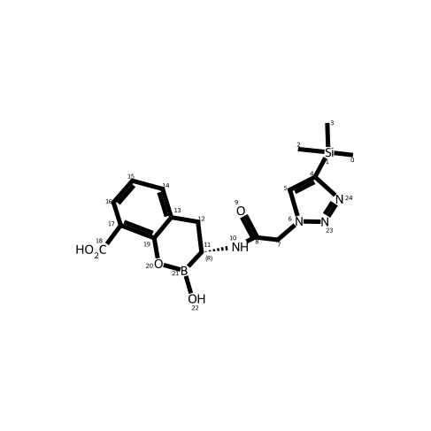 C[Si](C)(C)c1cn(CC(=O)N[C@H]2Cc3cccc(C(=O)O)c3OB2O)nn1